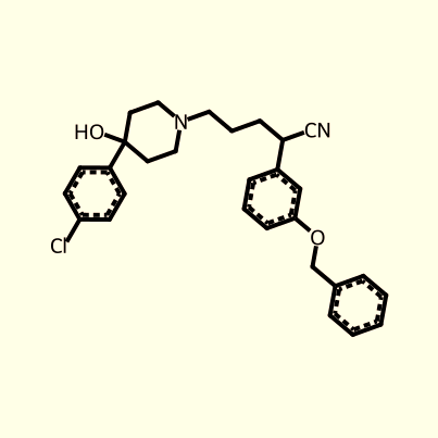 N#CC(CCCN1CCC(O)(c2ccc(Cl)cc2)CC1)c1cccc(OCc2ccccc2)c1